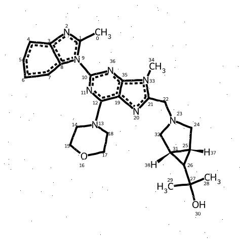 Cc1nc2ccccc2n1-c1nc(N2CCOCC2)c2nc(CN3C[C@@H]4C(C(C)(C)O)[C@@H]4C3)n(C)c2n1